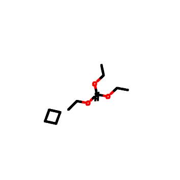 C1CCC1.CCO[SiH](OCC)OCC